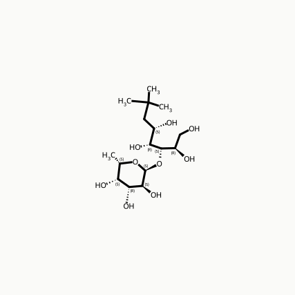 C[C@@H]1O[C@@H](O[C@H]([C@H](O)[C@@H](O)CC(C)(C)C)[C@H](O)CO)[C@@H](O)[C@H](O)[C@@H]1O